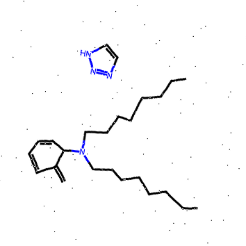 C=C1C=CC=CC1N(CCCCCCCC)CCCCCCCC.c1c[nH]nn1